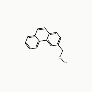 CCOCc1ccc2ccc3ccccc3c2c1